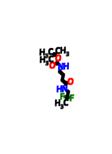 CC(F)(F)CNC(=O)CCCNC(=O)OC(C)(C)C